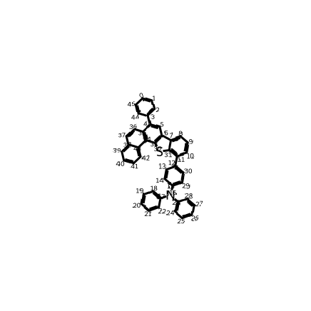 c1ccc(-c2cc3c4cccc(-c5ccc(N(c6ccccc6)c6ccccc6)cc5)c4sc3c3c2ccc2ccccc23)cc1